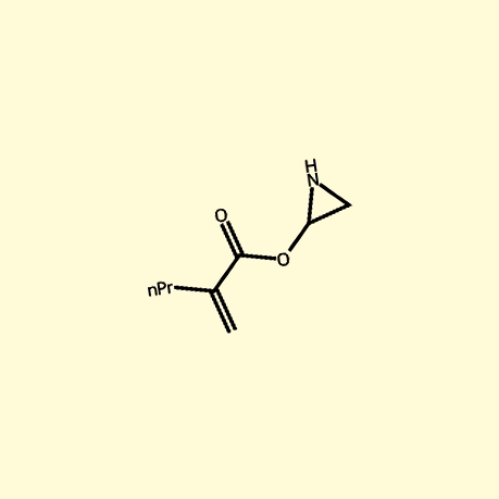 C=C(CCC)C(=O)OC1CN1